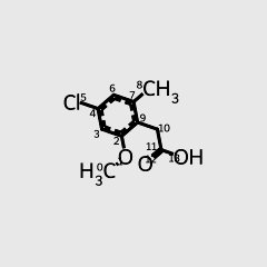 COc1cc(Cl)cc(C)c1CC(=O)O